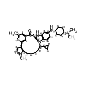 Cc1cc2cc(n1)-c1cnn(C)c1CCCCC(C1CC1)N1/C(=N/C2=O)Nc2cc(N[C@H]3CC[C@@H](N(C)C)CC3)ccc21